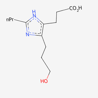 CCCc1nc(CCCO)c(CCC(=O)O)[nH]1